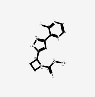 CCc1nccnc1-c1cc(C2CCN2C(=O)OC(C)(C)C)on1